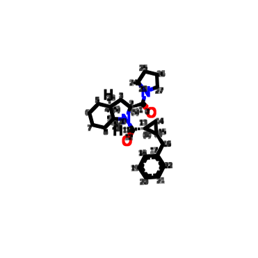 O=C([C@@H]1C[C@@H]2CCCC[C@@H]2N1C(=O)[C@@H]1C[C@H]1Cc1ccccc1)N1CCCC1